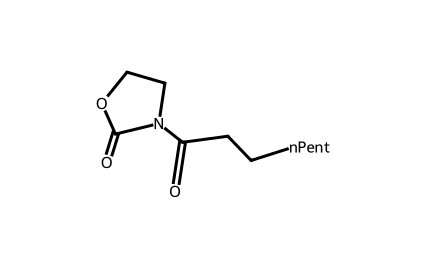 CCCCCCCC(=O)N1CCOC1=O